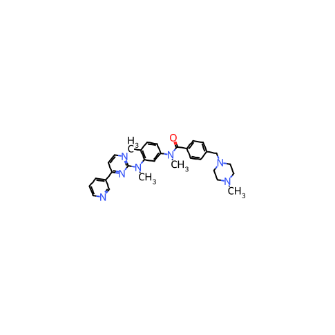 Cc1ccc(N(C)C(=O)c2ccc(CN3CCN(C)CC3)cc2)cc1N(C)c1nccc(-c2cccnc2)n1